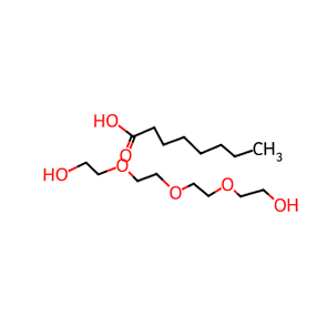 CCCCCCCC(=O)O.OCCOCCOCCOCCO